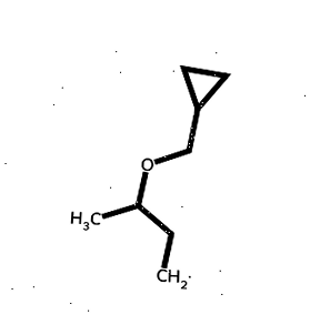 [CH2]CC(C)OCC1CC1